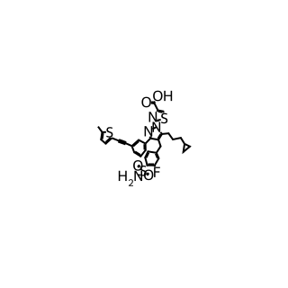 Cc1ccc(C#Cc2cccc(-c3nn(-c4nc(C(=O)O)cs4)c(CCCC4CC4)c3Cc3ccc(S(N)(=O)=O)c(F)c3)c2)s1